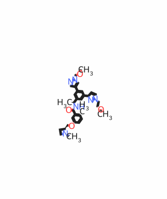 COCCn1ccc(-c2cc(-c3cnn(COC)c3)cc([C@@H](C)NC(=O)c3cc(OC[C@@H]4CCN4C)ccc3C)c2)n1